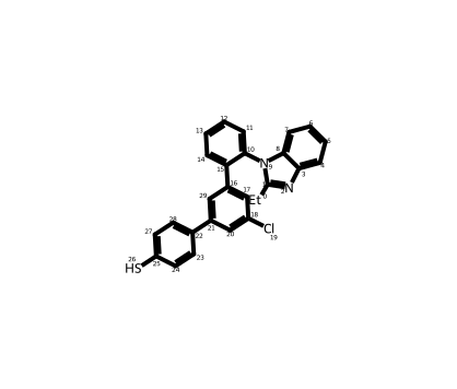 CCc1nc2ccccc2n1-c1ccccc1-c1cc(Cl)cc(-c2ccc(S)cc2)c1